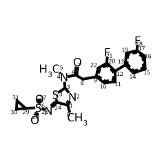 CC1=NC(N(C)C(=O)Cc2ccc(-c3cccc(F)c3)c(F)c2)SC1=NS(=O)(=O)C1CC1